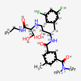 CCCN(CCC)C(=O)c1cc(C)cc(C(=O)N[C@@H](Cc2cc(F)cc(F)c2)[C@H](O)CN[C@@H](CO)C(=O)NCC(C)C)c1